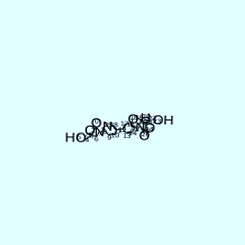 O=C1O[C@H](CO)CN1c1ccc(-c2ccc3c(c2)OC[C@H]2[C@H](CO)OC(=O)N32)cn1